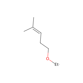 C[CH]OCCC=C(C)C